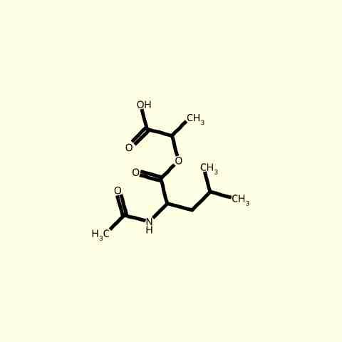 CC(=O)NC(CC(C)C)C(=O)OC(C)C(=O)O